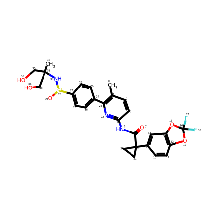 Cc1ccc(NC(=O)C2(c3ccc4c(c3)OC(F)(F)O4)CC2)nc1-c1ccc([S+]([O-])NC(C)(CO)CO)cc1